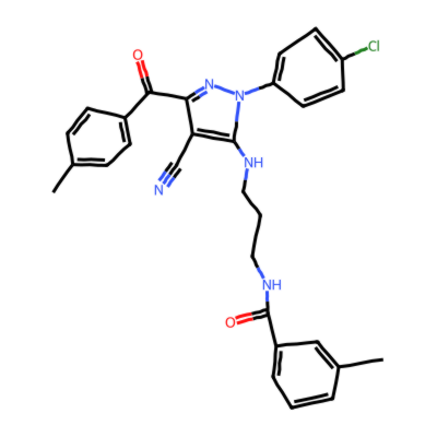 Cc1ccc(C(=O)c2nn(-c3ccc(Cl)cc3)c(NCCCNC(=O)c3cccc(C)c3)c2C#N)cc1